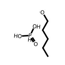 CCCCC[O].O=[PH](O)O